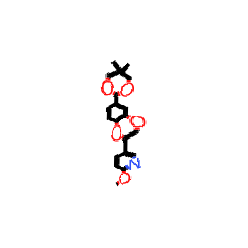 COc1ccc(C2COc3cc(C4OCC(C)(C)CO4)ccc3O2)cn1